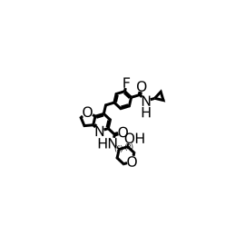 O=C(N[C@H]1CCOC[C@@H]1O)c1cc(Cc2ccc(C(=O)NC3CC3)c(F)c2)c2c(n1)CCO2